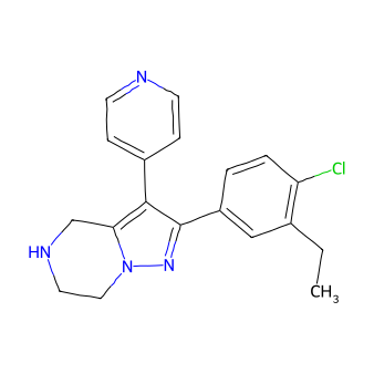 CCc1cc(-c2nn3c(c2-c2ccncc2)CNCC3)ccc1Cl